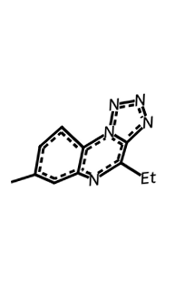 CCc1nc2cc(C)ccc2n2nnnc12